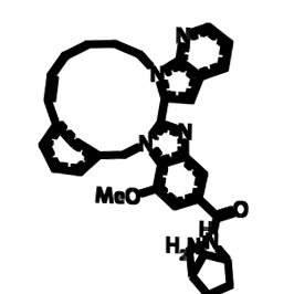 COc1cc(C(=O)N2CC3CCC2[C@@H]3N)cc2nc3n(c12)Cc1cccc(c1)/C=C\CCCCn1c-3cc2cccnc21